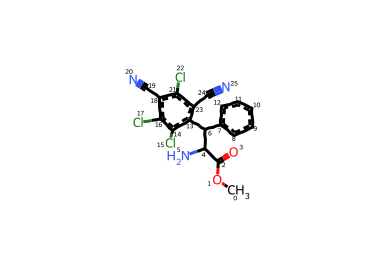 COC(=O)C(N)C(c1ccccc1)c1c(Cl)c(Cl)c(C#N)c(Cl)c1C#N